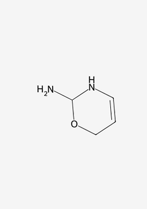 NC1NC=CCO1